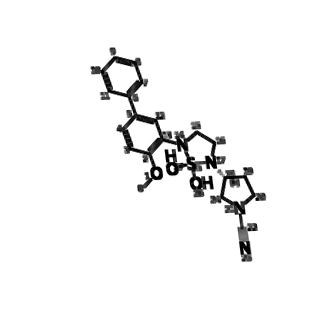 COc1ccc(-c2ccccc2)cc1N1CCN([C@@H]2CCN(C#N)C2)S1(O)O